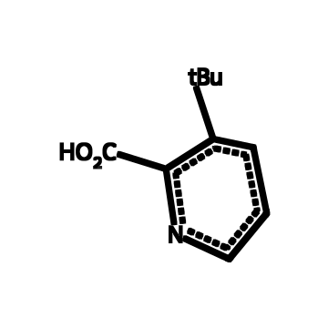 CC(C)(C)c1cccnc1C(=O)O